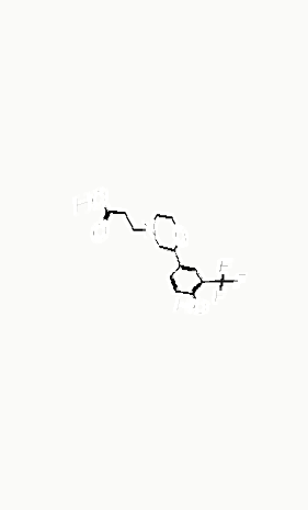 O=C(O)CCN1CCOC(c2ccc(O)c(C(F)(F)F)c2)C1